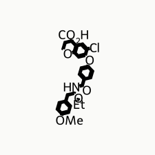 CCOC(Cc1ccc(OC)cc1)NC(=O)c1ccc(Oc2cc3c(cc2Cl)C(C(=O)O)CCO3)cc1